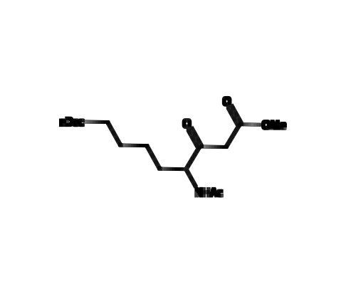 CCCCCCCCCCCCCCC(NC(C)=O)C(=O)CC(=O)OC